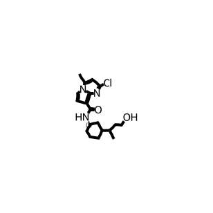 Cc1cc(Cl)nc2c(C(=O)N[C@H]3CCCC(C(C)CCO)C3)ccn12